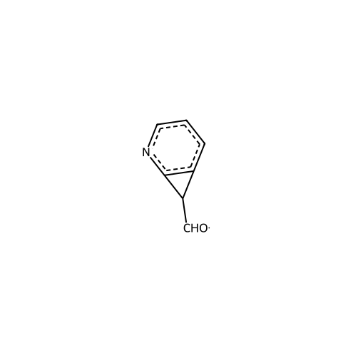 O=[C]C1c2cccnc21